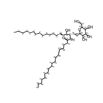 CCCCCCCCCCCCC/C=C/[C@@H](O)[C@H](COC1OC(CO)C(O)C(O)C1O)NC(=O)CCCCCCCCCCCCCCCCC